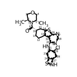 C[C@H]1COC[C@H](C)N1C(=O)[C@H]1CCc2c(sc3ncnc(Nc4cc5s[nH]c5cc4Cl)c23)C1